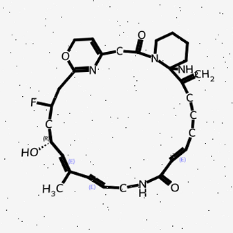 C=C1CCC/C=C/C(=O)NC/C=C/C(C)=C/[C@H](O)CC(F)CC2=NC(=CCO2)CC(=O)N2CCCCC12N